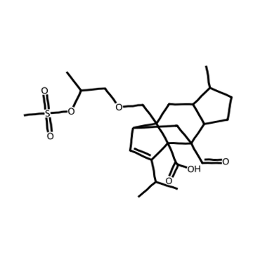 CC(COCC12CC3C(C)CCC3C3(C=O)CC1C=C(C(C)C)C32C(=O)O)OS(C)(=O)=O